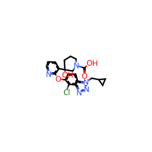 O=C(O)N1CCCC(O)(c2cccnc2Oc2ccc3c(nnn3CC3CC3)c2Cl)C1